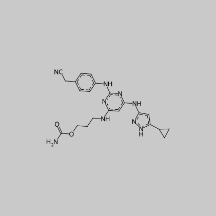 N#CCc1ccc(Nc2nc(NCCCOC(N)=O)cc(Nc3cc(C4CC4)[nH]n3)n2)cc1